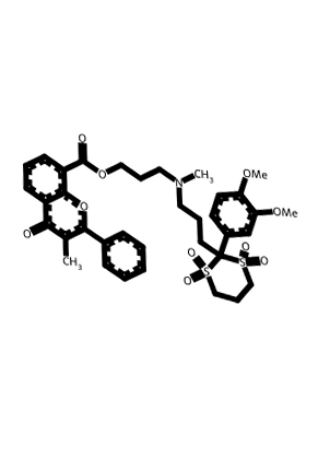 COc1ccc(C2(CCCN(C)CCCOC(=O)c3cccc4c(=O)c(C)c(-c5ccccc5)oc34)S(=O)(=O)CCCS2(=O)=O)cc1OC